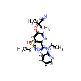 CCn1c(-c2ncc(OC(C)(C)C#N)cc2[S@](=N)(=O)CC)nc2cccnc21